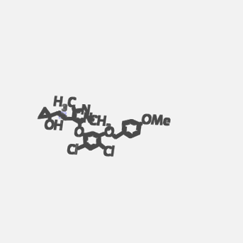 COc1ccc(COc2cc(Oc3c(/C=C/C4(O)CC4)c(C)nn3C)c(Cl)cc2Cl)cc1